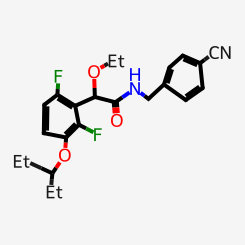 CCOC(C(=O)NCc1ccc(C#N)cc1)c1c(F)ccc(OC(CC)CC)c1F